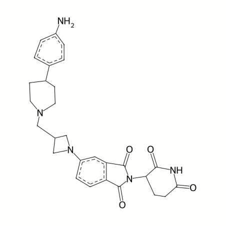 Nc1ccc(C2CCN(CC3CN(c4ccc5c(c4)C(=O)N(C4CCC(=O)NC4=O)C5=O)C3)CC2)cc1